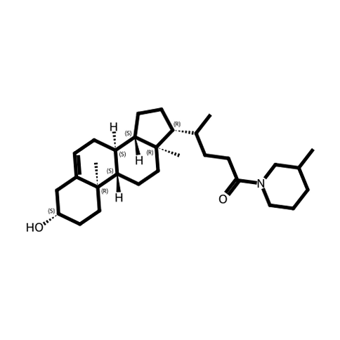 CC1CCCN(C(=O)CCC(C)[C@H]2CC[C@H]3[C@@H]4CC=C5C[C@@H](O)CC[C@]5(C)[C@H]4CC[C@]23C)C1